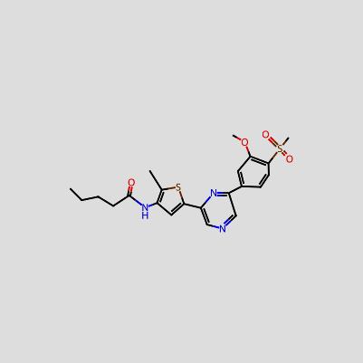 CCCCC(=O)Nc1cc(-c2cncc(-c3ccc(S(C)(=O)=O)c(OC)c3)n2)sc1C